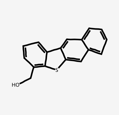 OCc1cccc2c1sc1cc3ccccc3cc12